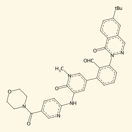 Cn1cc(-c2cccc(-n3ncc4cc(C(C)(C)C)ccc4c3=O)c2C=O)cc(Nc2ccc(C(=O)N3CCOCC3)cn2)c1=O